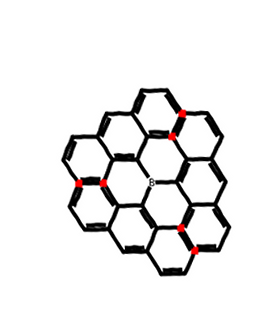 c1ccc2c(B(c3c4ccccc4cc4ccccc34)c3c4ccccc4cc4ccccc34)c3ccccc3cc2c1